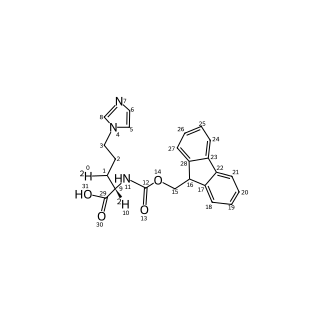 [2H]C(CCn1ccnc1)[C@]([2H])(NC(=O)OCC1c2ccccc2-c2ccccc21)C(=O)O